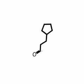 O=[C]CCC1CCCC1